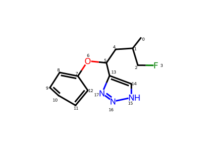 CC(CF)CC(Oc1ccccc1)c1c[nH]nn1